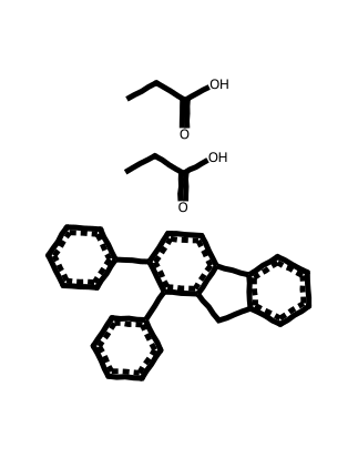 CCC(=O)O.CCC(=O)O.c1ccc(-c2ccc3c(c2-c2ccccc2)Cc2ccccc2-3)cc1